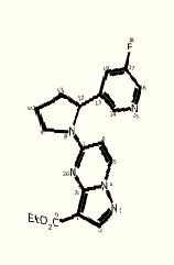 CCOC(=O)c1cnn2ccc(N3CCCC3c3cncc(F)c3)nc12